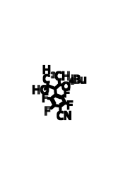 CCC(C)OC(C)C(c1c(F)c(F)c(C#N)c(F)c1F)C(C)O